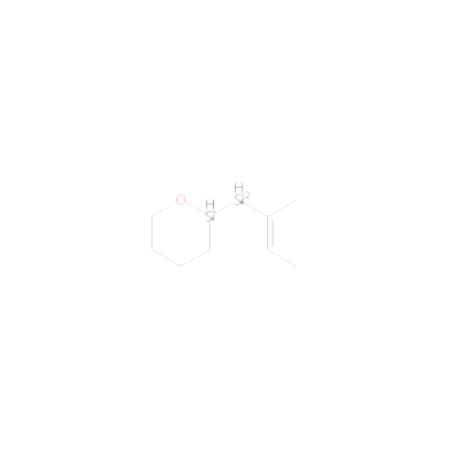 CC=C(C)[SiH2][SiH]1CCCCO1